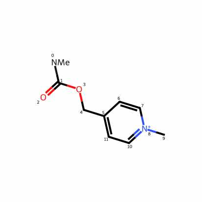 CNC(=O)OCc1cc[n+](C)cc1